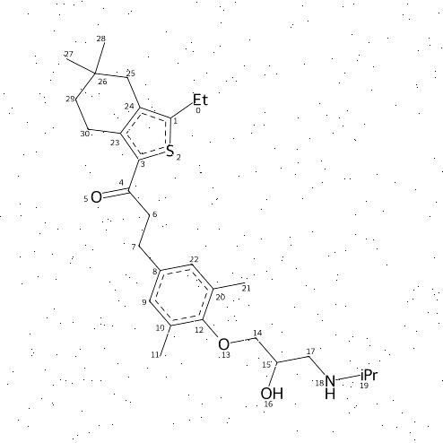 CCc1sc(C(=O)CCc2cc(C)c(OCC(O)CNC(C)C)c(C)c2)c2c1CC(C)(C)CC2